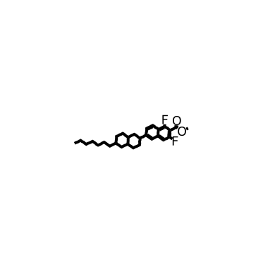 CCCCCCCC1CCC2CC(c3ccc4c(F)c(C(=O)OC)c(F)cc4c3)CCC2C1